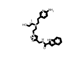 C[C@@H](CO)N(CCc1ccc(N)nc1)CCn1cc(CNC(=O)c2cc3ccccc3[nH]2)nn1